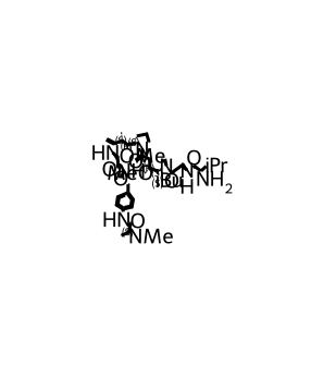 C=C(NCC(=O)NOCc1ccc(NC(=O)[C@H](C)NC)cc1)[C@H](C)[C@@H](OC)[C@@H]1CCCN1C(=O)C[C@@H](OC)[C@H]([C@@H](C)CC)N(C)C(=O)CNC(=O)C(N)C(C)C